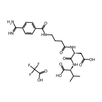 CC(C)[C@H](NC(=O)[C@H](CC(=O)O)NC(=O)CCCNC(=O)c1ccc(C(=N)N)cc1)C(=O)O.O=C(O)C(F)(F)F